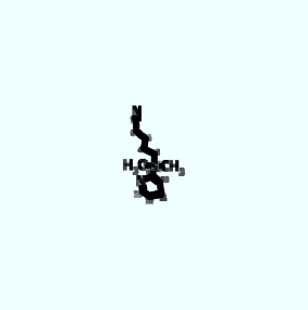 C[Si](C)(CCCCC#N)c1ccccn1